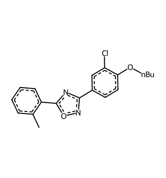 CCCCOc1ccc(-c2noc(-c3ccccc3C)n2)cc1Cl